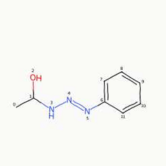 CC(O)N/N=N/c1ccccc1